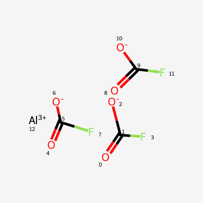 O=C([O-])F.O=C([O-])F.O=C([O-])F.[Al+3]